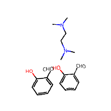 CN(C)CCN(C)C.O=Cc1ccccc1O.O=Cc1ccccc1O